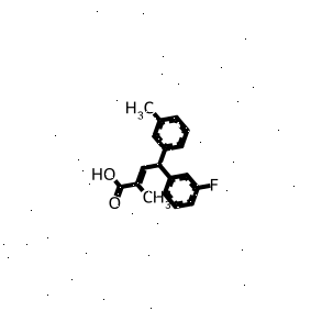 CC(=CC(c1cccc(C)c1)c1cccc(F)c1)C(=O)O